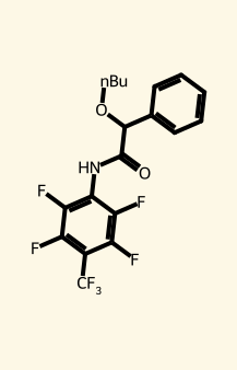 CCCCOC(C(=O)Nc1c(F)c(F)c(C(F)(F)F)c(F)c1F)c1ccccc1